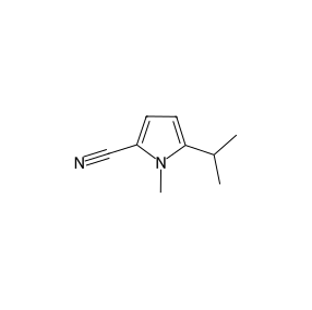 CC(C)c1ccc(C#N)n1C